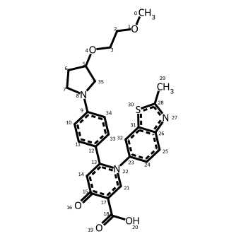 COCCOC1CCN(c2ccc(-c3cc(=O)c(C(=O)O)cn3-c3ccc4nc(C)sc4c3)cc2)C1